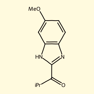 COc1ccc2nc(C(=O)C(C)C)[nH]c2c1